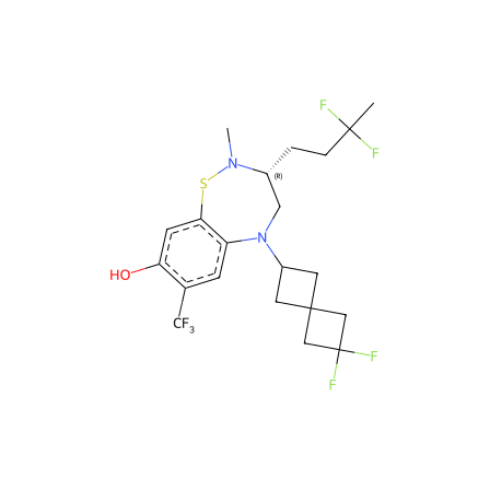 CN1Sc2cc(O)c(C(F)(F)F)cc2N(C2CC3(C2)CC(F)(F)C3)C[C@H]1CCC(C)(F)F